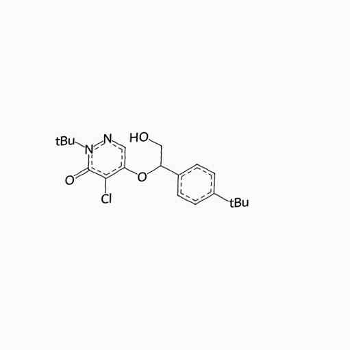 CC(C)(C)c1ccc(C(CO)Oc2cnn(C(C)(C)C)c(=O)c2Cl)cc1